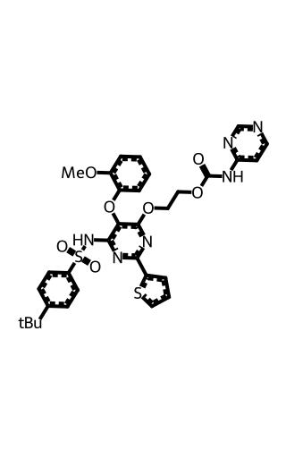 COc1ccccc1Oc1c(NS(=O)(=O)c2ccc(C(C)(C)C)cc2)nc(-c2cccs2)nc1OCCOC(=O)Nc1ccncn1